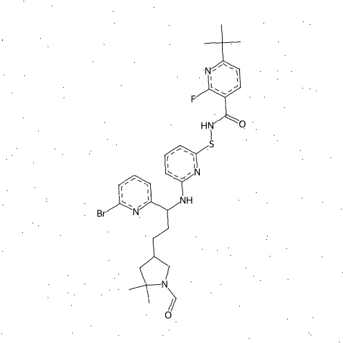 CC(C)(C)c1ccc(C(=O)NSc2cccc(NC(CCC3CN(C=O)C(C)(C)C3)c3cccc(Br)n3)n2)c(F)n1